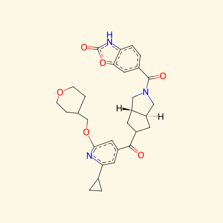 O=C(c1cc(OCC2CCOCC2)nc(C2CC2)c1)C1C[C@@H]2CN(C(=O)c3ccc4[nH]c(=O)oc4c3)C[C@H]2C1